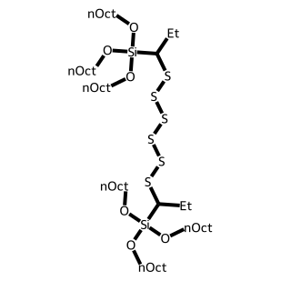 CCCCCCCCO[Si](OCCCCCCCC)(OCCCCCCCC)C(CC)SSSSSSC(CC)[Si](OCCCCCCCC)(OCCCCCCCC)OCCCCCCCC